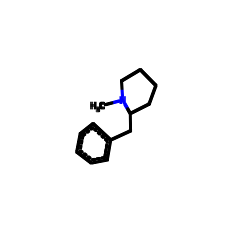 CN1CCCCC1Cc1ccccc1